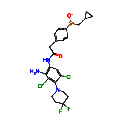 Nc1c(NC(=O)Cc2ccc([S+]([O-])CC3CC3)cc2)cc(Cl)c(N2CCC(F)(F)CC2)c1Cl